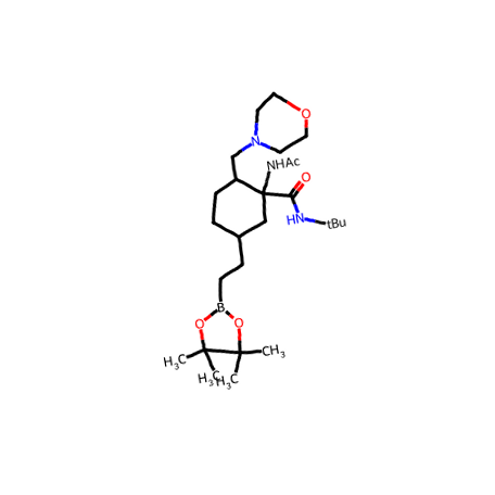 CC(=O)NC1(C(=O)NC(C)(C)C)CC(CCB2OC(C)(C)C(C)(C)O2)CCC1CN1CCOCC1